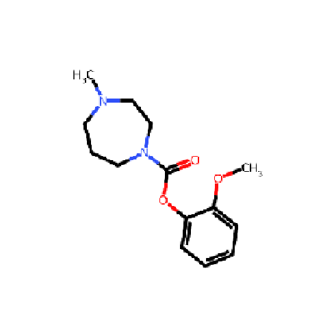 COc1ccccc1OC(=O)N1CCCN(C)CC1